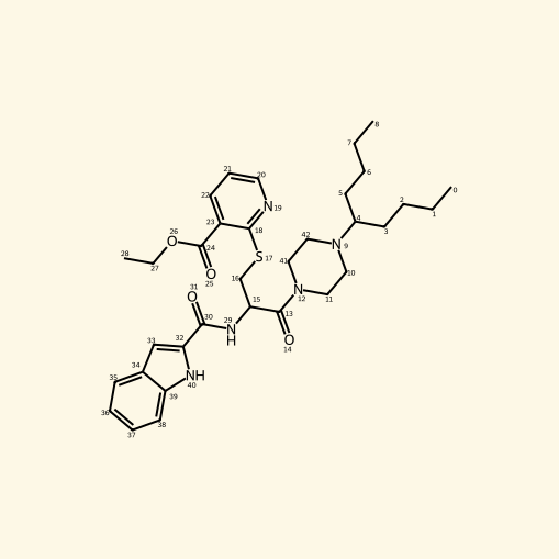 CCCCC(CCCC)N1CCN(C(=O)C(CSc2ncccc2C(=O)OCC)NC(=O)c2cc3ccccc3[nH]2)CC1